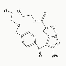 CCCCc1oc2ccc(C(=O)OCCCl)cc2c1C(=O)c1ccc(COCCCl)cc1